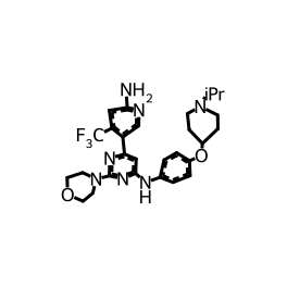 CC(C)N1CCC(Oc2ccc(Nc3cc(-c4cnc(N)cc4C(F)(F)F)nc(N4CCOCC4)n3)cc2)CC1